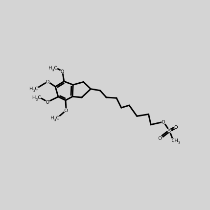 COc1c2c(c(OC)c(OC)c1OC)CC(CCCCCCCCOS(C)(=O)=O)C2